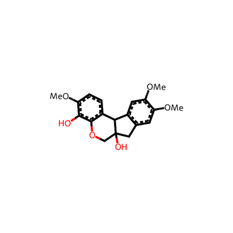 COc1cc2c(cc1OC)C1c3ccc(OC)c(O)c3OCC1(O)C2